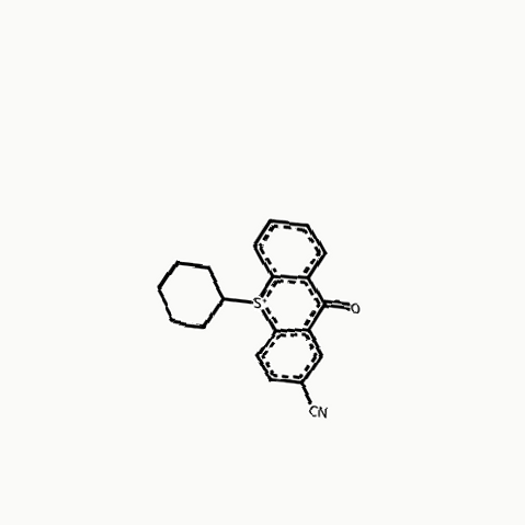 N#Cc1ccc2c(c1)c(=O)c1ccccc1[s+]2C1CCCCC1